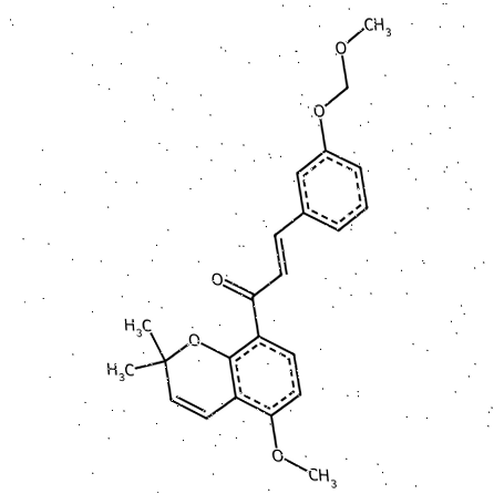 COCOc1cccc(/C=C/C(=O)c2ccc(OC)c3c2OC(C)(C)C=C3)c1